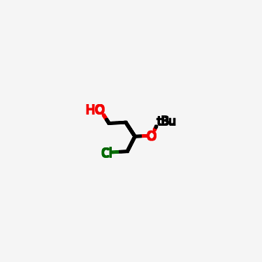 CC(C)(C)OC(CCl)CCO